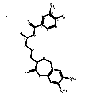 COc1cc2c(cc1OC)CC(=O)N(CCCN(C)CC(=O)c1ccc(Cl)c(N)c1)CC2